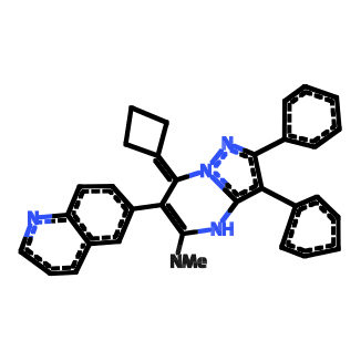 CNC1=C(c2ccc3ncccc3c2)C(=C2CCC2)n2nc(-c3ccccc3)c(-c3ccccc3)c2N1